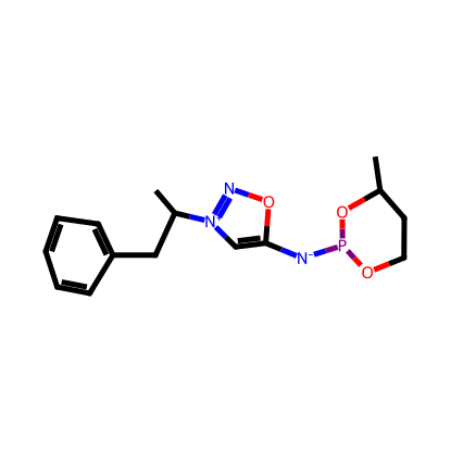 CC1CCOP([N-]c2c[n+](C(C)Cc3ccccc3)no2)O1